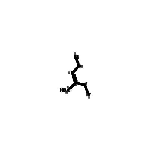 CCON=C(CBr)C(=O)O